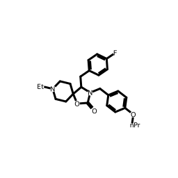 CCCOc1ccc(CN2C(=O)OC3(CCN(CC)CC3)C2Cc2ccc(F)cc2)cc1